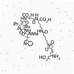 CN[C@H](C(=O)N[C@H](C(=O)N(C)[C@H](/C=C(\C)C(=O)N[C@H](CCC(=O)N[C@@H](CCCCNC(=O)CCCCCN1C(=O)CC(SC[C@H](N)C(=O)O)C1=O)C(=O)O)C(=O)O)C(C)C)C(C)(C)C)C(C)(C)c1cn(C)c2ccccc12